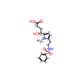 Cn1c(CCNS(=O)(=O)c2ccccc2)ccc1C(O)CCC(=O)O